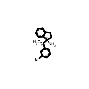 C[C@@H](c1cccc(Br)c1)[C@@]1(N)CCc2ccccc21